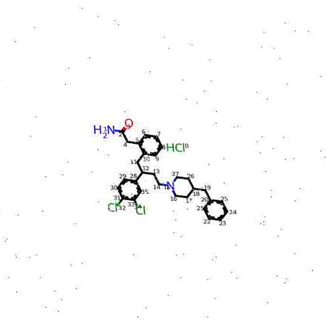 Cl.NC(=O)Cc1ccccc1CC(CCN1CCC(Cc2ccccc2)CC1)c1ccc(Cl)c(Cl)c1